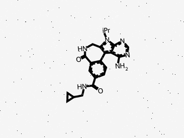 CC(C)n1c2c(c3c(N)ncnc31)-c1ccc(C(=O)NCC3CC3)cc1C(=O)NC2